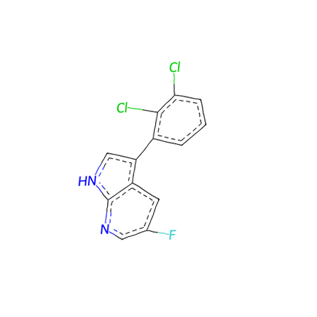 Fc1cnc2[nH]cc(-c3cccc(Cl)c3Cl)c2c1